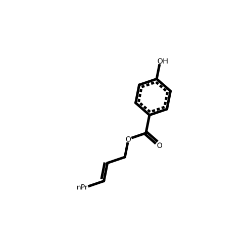 CCC/C=C/COC(=O)c1ccc(O)cc1